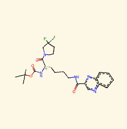 CC(C)(C)OC(=O)N[C@@H](CCCCNC(=O)c1cnc2ccccc2n1)C(=O)N1CCC(F)(F)C1